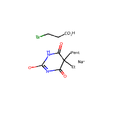 CCCC(C)C1(CC)C(=O)N=C([O-])NC1=O.O=C(O)CCBr.[Na+]